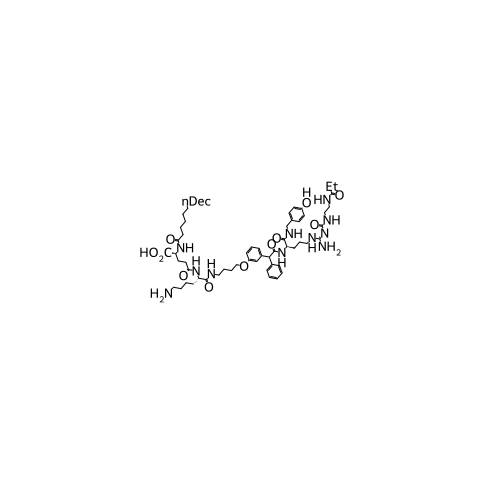 CCCCCCCCCCCCCCCC(=O)N[C@@H](CCC(=O)N[C@@H](CCCCN)C(=O)NCCCCOc1cccc(C(C(=O)N[C@H](CCCN/C(N)=N\C(=O)NCCNC(=O)CC)C(=O)NCc2ccc(O)cc2)c2ccccc2)c1)C(=O)O